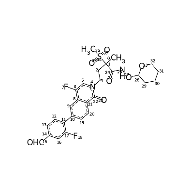 CC(CCn1cc(F)c2cc(-c3ccc(C=O)cc3F)ccc2c1=O)(C(=O)NOC1CCCCO1)S(C)(=O)=O